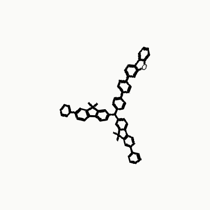 CC1(C)c2cc(-c3ccccc3)ccc2-c2ccc(C(c3ccc(-c4ccc(-c5ccc6c(c5)oc5ccccc56)cc4)cc3)c3ccc4c(c3)C(C)(C)c3cc(-c5ccccc5)ccc3-4)cc21